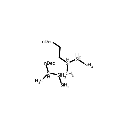 CCCCCCCCCCCC[SiH](C)[SiH2][SiH3].CCCCCCCCCC[SiH](C)[SiH2][SiH3]